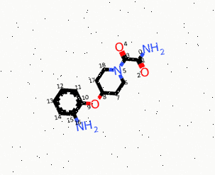 NC(=O)C(=O)N1CCC(Oc2ccccc2N)CC1